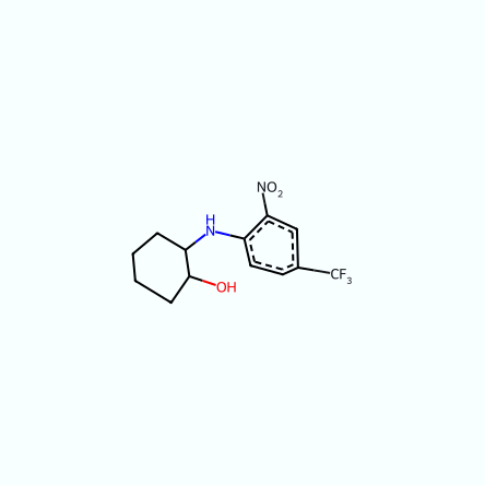 O=[N+]([O-])c1cc(C(F)(F)F)ccc1NC1CCCCC1O